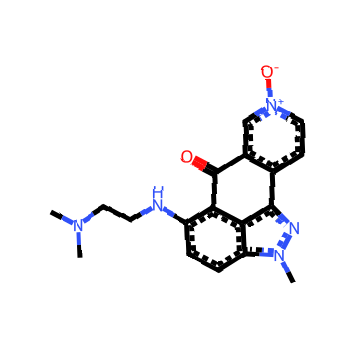 CN(C)CCNc1ccc2c3c(nn2C)-c2cc[n+]([O-])cc2C(=O)c13